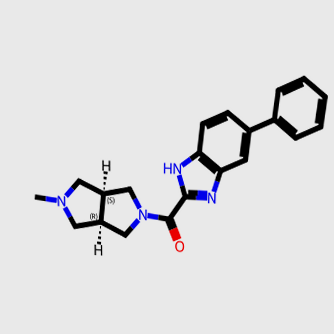 CN1C[C@@H]2CN(C(=O)c3nc4cc(-c5ccccc5)ccc4[nH]3)C[C@@H]2C1